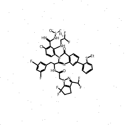 CCSc1ccccc1-c1ccc2c(=O)n(-c3ccc(Cl)c(C(=N)N[S+](C)[O-])c3NCC(F)F)c(C(Cc3cc(F)cc(F)c3)NC(=O)Cn3nc(C(F)F)c4c3C(F)(F)CC4)nc2c1